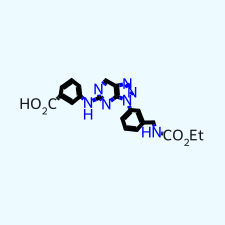 CCOC(=O)NCc1cccc(-n2nnc3cnc(Nc4cccc(C(=O)O)c4)nc32)c1